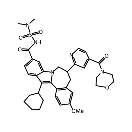 COc1ccc2c(c1)CC(c1cc(C(=O)N3CCOCC3)ccn1)Cn1c-2c(C2CCCCC2)c2ccc(C(=O)NS(=O)(=O)N(C)C)cc21